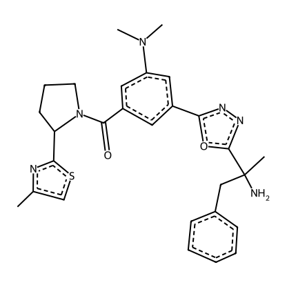 Cc1csc(C2CCCN2C(=O)c2cc(-c3nnc(C(C)(N)Cc4ccccc4)o3)cc(N(C)C)c2)n1